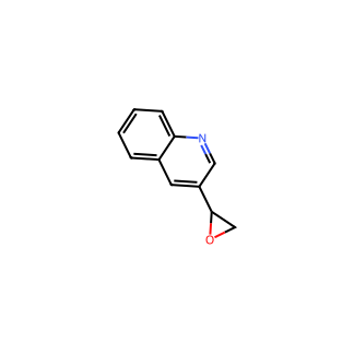 c1ccc2ncc(C3CO3)cc2c1